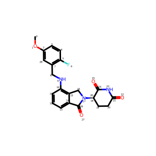 COc1ccc(F)c(CNc2cccc3c2CN([C@@H]2CCC(=O)NC2=O)C3=O)c1